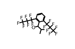 CC(C)C([O])c1c(C(F)(F)C(F)(F)C(F)(F)F)cccc1C(F)(F)C(F)(F)C(F)(F)F